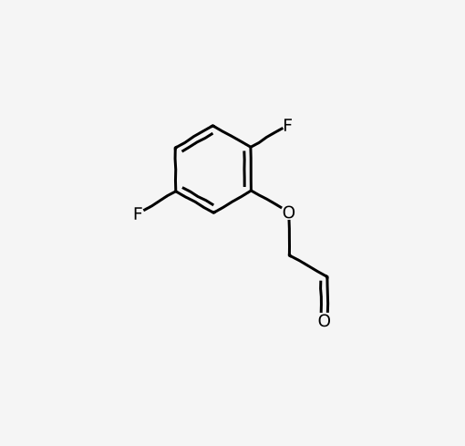 O=CCOc1cc(F)ccc1F